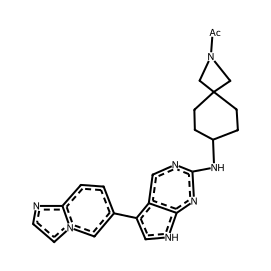 CC(=O)N1CC2(CCC(Nc3ncc4c(-c5ccc6nccn6c5)c[nH]c4n3)CC2)C1